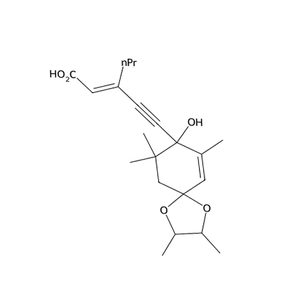 CCCC(C#CC1(O)C(C)=CC2(CC1(C)C)OC(C)C(C)O2)=CC(=O)O